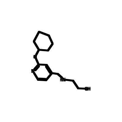 OCCNCc1ccnc(OC2CCCCC2)c1